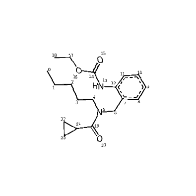 CCCCCN(Cc1ccccc1NC(=O)OCC)C(=O)C1CC1